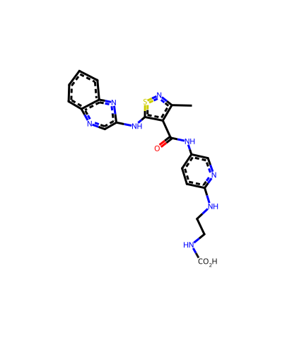 Cc1nsc(Nc2cnc3ccccc3n2)c1C(=O)Nc1ccc(NCCNC(=O)O)nc1